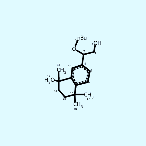 CCCCOC(CO)c1ccc2c(c1)C(C)(C)CCC2(C)C